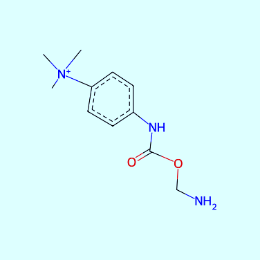 C[N+](C)(C)c1ccc(NC(=O)OCN)cc1